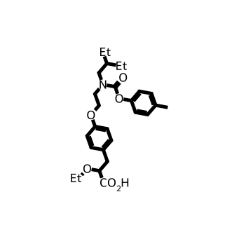 CCOC(Cc1ccc(OCCN(CC(CC)CC)C(=O)Oc2ccc(C)cc2)cc1)C(=O)O